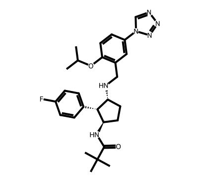 CC(C)Oc1ccc(-n2cnnn2)cc1CN[C@@H]1CC[C@@H](NC(=O)C(C)(C)C)[C@@H]1c1ccc(F)cc1